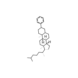 CC(C)CCC[C@@H](C)[C@H]1CC[C@H]2[C@@H]3CCC4CC(c5ccccc5)CC[C@]4(C)[C@H]3CC[C@]12C